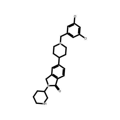 O=C1c2ccc(C3CCN(Cc4cc(Cl)cc(Cl)c4)CC3)cc2CN1C1CCCNC1